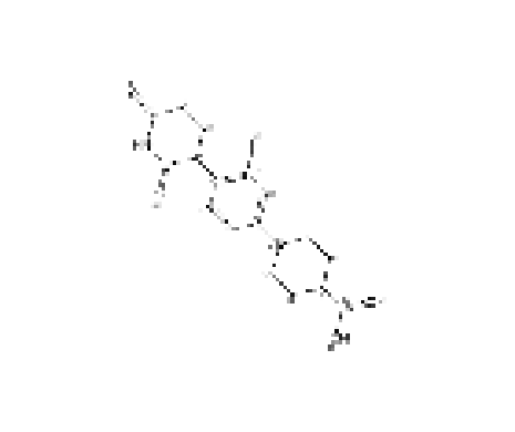 O=C1CCC(c2ncc(N3CCC(C(=O)O)CC3)cc2F)C(=O)N1